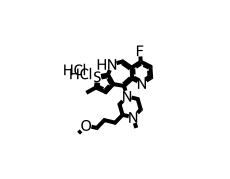 COCCCC1CN(C2=c3nccc(F)c3=CNc3sc(C)cc32)CCN1C.Cl.Cl